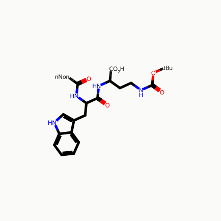 CCCCCCCCCC(=O)NC(Cc1c[nH]c2ccccc12)C(=O)NC(CCNC(=O)OC(C)(C)C)C(=O)O